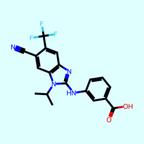 CC(C)n1c(Nc2cccc(C(=O)O)c2)nc2cc(C(F)(F)F)c(C#N)cc21